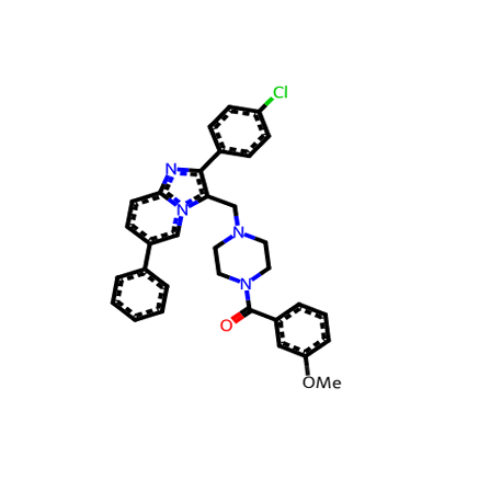 COc1cccc(C(=O)N2CCN(Cc3c(-c4ccc(Cl)cc4)nc4ccc(-c5ccccc5)cn34)CC2)c1